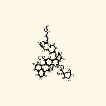 COC/C=C/C(=O)N1CC[C@H](n2ncc3c(O[C@@H](C)[C@@H]4CCCN4C)nc4c(F)c(-c5nccc6cccc(C#N)c56)c(Cl)cc4c32)C[C@H]1CC#N